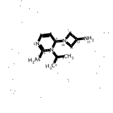 CC(C)N1C([AsH2])=NC=CC1N1CC(N)C1